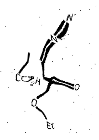 CC(=O)O.CCOC(=O)C=[N+]=[N-]